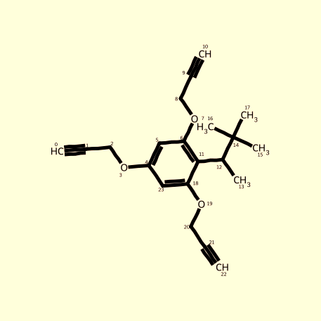 C#CCOc1cc(OCC#C)c(C(C)C(C)(C)C)c(OCC#C)c1